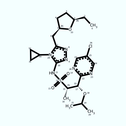 CC[C@@H]1CC[C@H](Cc2nnc(NS(=O)(=O)[C@@H](C)[C@@H](OC(C)C)c3ncc(Cl)cn3)n2C2CC2)O1